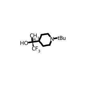 CC(C)(C)N1CCC([C@@](C)(O)C(F)(F)F)CC1